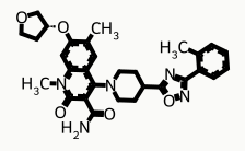 Cc1cc2c(N3CCC(c4nc(-c5ccccc5C)no4)CC3)c(C(N)=O)c(=O)n(C)c2cc1O[C@@H]1CCOC1